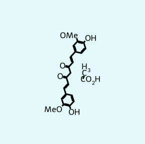 CC(=O)O.COc1cc(C=CC(=O)CC(=O)C=Cc2ccc(O)c(OC)c2)ccc1O